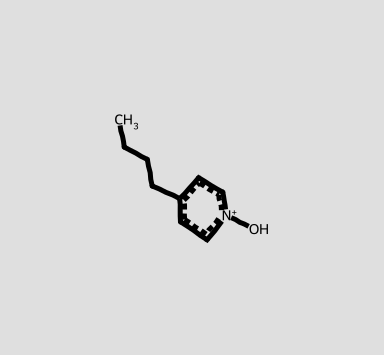 CCCCc1cc[n+](O)cc1